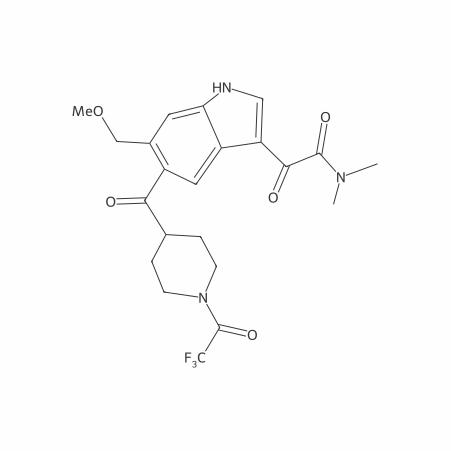 COCc1cc2[nH]cc(C(=O)C(=O)N(C)C)c2cc1C(=O)C1CCN(C(=O)C(F)(F)F)CC1